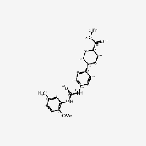 COc1ccc(C)cc1NC(=O)Nc1ccc(C2CCC(C(=O)OC(C)C)CC2)cc1